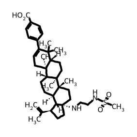 C=C(C)[C@@H]1CC[C@]2(NCCNS(C)(=O)=O)CC[C@]3(C)[C@H](CC[C@@H]4[C@@]5(C)CC=C(c6ccc(C(=O)O)cc6)C(C)(C)[C@@H]5CC[C@]43C)[C@@H]12